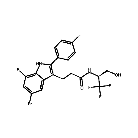 O=C(CCc1c(-c2ccc(F)cc2)[nH]c2c(F)cc(Br)cc12)N[C@@H](CO)C(F)(F)F